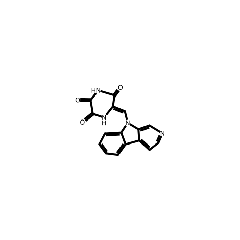 O=C1NC(=O)/C(=C/n2c3ccccc3c3ccncc32)NC1=O